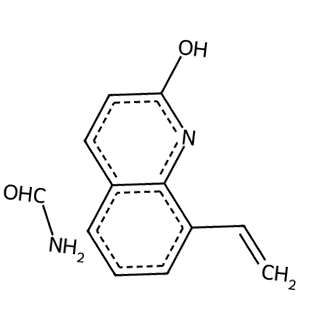 C=Cc1cccc2ccc(O)nc12.NC=O